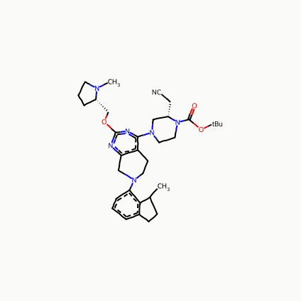 CC1CCc2cccc(N3CCc4c(nc(OC[C@@H]5CCCN5C)nc4N4CCN(C(=O)OC(C)(C)C)[C@@H](CC#N)C4)C3)c21